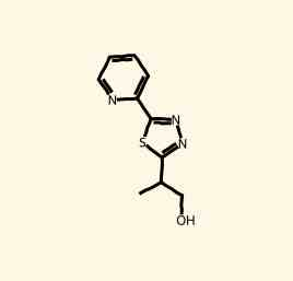 CC(CO)c1nnc(-c2ccccn2)s1